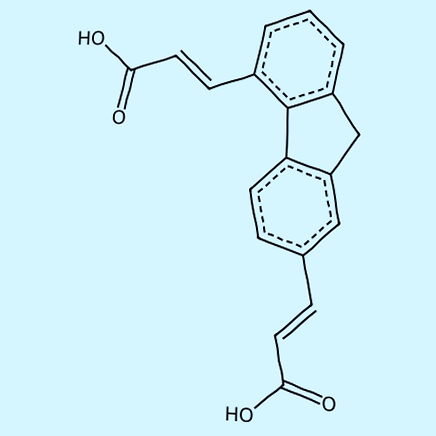 O=C(O)C=Cc1ccc2c(c1)Cc1cccc(C=CC(=O)O)c1-2